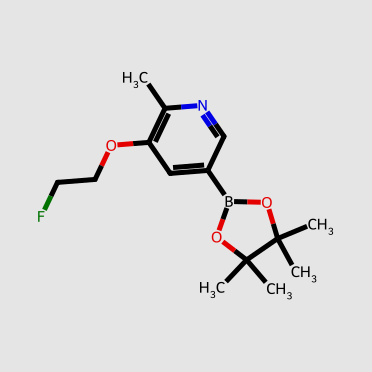 Cc1ncc(B2OC(C)(C)C(C)(C)O2)cc1OCCF